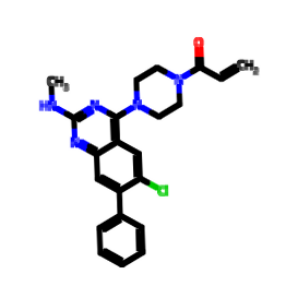 C=CC(=O)N1CCN(c2nc(NC)nc3cc(-c4ccccc4)c(Cl)cc23)CC1